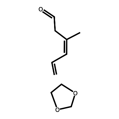 C1COCO1.C=CC=C(C)CC=O